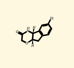 CCc1ccc2c(c1)[C@H]1NC(=O)CO[C@H]1C2